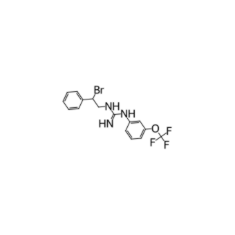 N=C(NCC(Br)c1ccccc1)Nc1cccc(OC(F)(F)F)c1